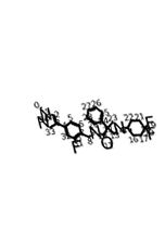 Cn1cc(-c2ccc(CN3C(=O)C4(CN(C5CCC(F)(F)CC5)C4)c4ccccc43)c(F)c2)cn1